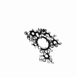 CC[C@H]1OC(=O)[C@H](C)[C@@H](O[C@H]2C[C@@](C)(OC)[C@@H](O)[C@H](C)O2)[C@H](C)[C@@H](O[C@@H]2O[C@H](C)C[C@H](N(C)CCc3cn(CCc4ccc([N+](=O)[O-])cc4)nn3)[C@H]2O)[C@](C)(O)C[C@@H](C)CN(CCN)[C@H](C)[C@@H](O)[C@]1(C)O